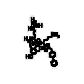 Cc1cc(O)cc(C)c1[C@H](NC(=O)[C@H](N)CCCNC(=N)N)C(=O)N[C@@H](CCCCN)c1nc(Cc2ccc(-c3ccccc3)cc2)no1